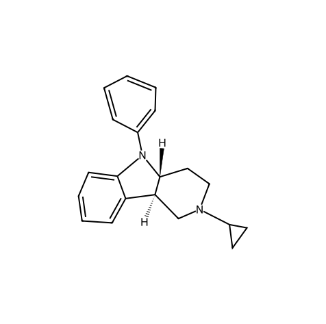 c1ccc(N2c3ccccc3[C@@H]3CN(C4CC4)CC[C@H]32)cc1